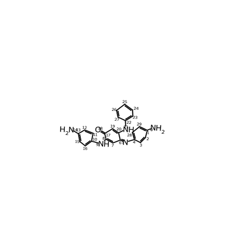 Nc1ccc(/N=C2/C=C(Nc3ccc(N)cc3)C(=O)C=C2Nc2ccccc2)cc1